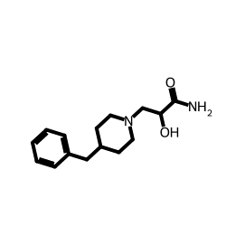 NC(=O)C(O)CN1CCC(Cc2ccccc2)CC1